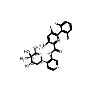 C[C@H]1O[C@@H](c2ccncc2NC(=O)c2nc(-c3c(F)cccc3F)c(F)cc2N)C[C@@H](O)[C@]1(C)O